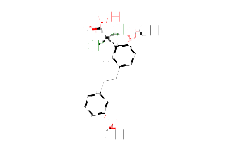 COc1cccc(CCc2ccc(OC)c(C(Cl)(Cl)C(=O)O)c2)c1